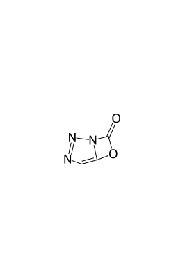 O=C1Oc2cnnn21